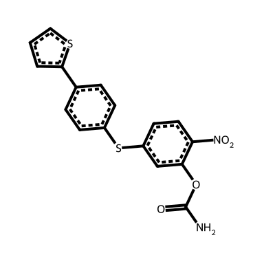 NC(=O)Oc1cc(Sc2ccc(-c3cccs3)cc2)ccc1[N+](=O)[O-]